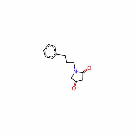 O=C1CC(=O)N(CCCc2ccccc2)C1